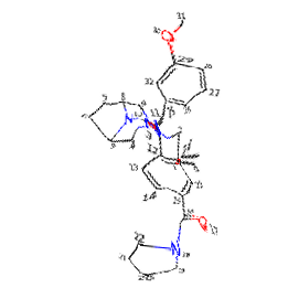 C=CCN1CC2CCC(C1)N2C(c1ccc(C(=O)N2CCCC2)cc1)c1cccc(OC)c1